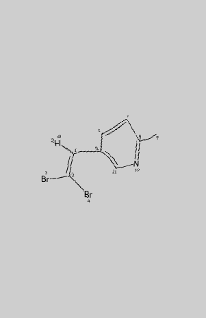 [2H]C(=C(Br)Br)c1ccc(C)nc1